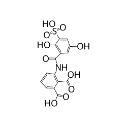 O=C(Nc1cccc(C(=O)O)c1C(=O)O)c1cc(O)cc(S(=O)(=O)O)c1O